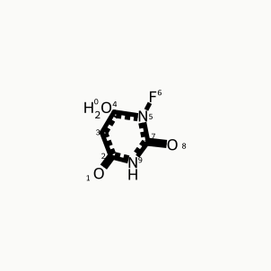 O.O=c1ccn(F)c(=O)[nH]1